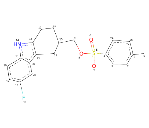 Cc1ccc(S(=O)(=O)OCC2CCc3[nH]c4ccc(F)cc4c3C2)cc1